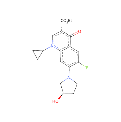 CCOC(=O)c1cn(C2CC2)c2cc(N3CC[C@@H](O)C3)c(F)cc2c1=O